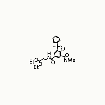 CCOC(CCNC(=O)c1cc(C(=O)NC)c2c(c1)[C@](C)(c1ccccc1)CO2)OCC